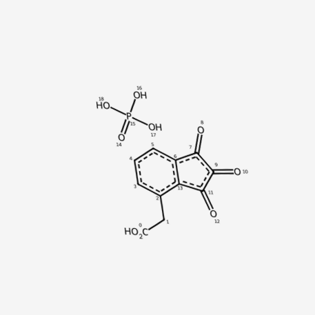 O=C(O)Cc1cccc2c(=O)c(=O)c(=O)c12.O=P(O)(O)O